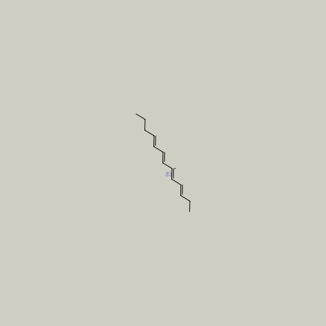 CCC=C/C=[C]/C=CC=CCCC